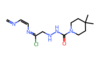 C=N/C=C\N=C(\Cl)CNNC(=O)N1CCC(C)(C)CC1